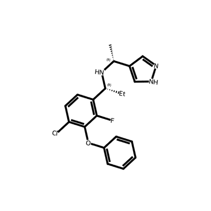 CC[C@@H](N[C@H](C)c1cn[nH]c1)c1ccc(Cl)c(Oc2ccccc2)c1F